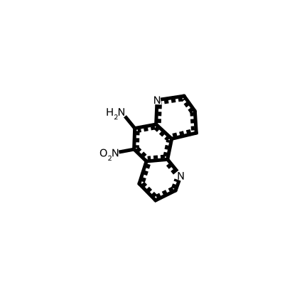 Nc1c([N+](=O)[O-])c2cccnc2c2cccnc12